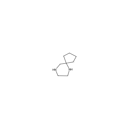 [CH]1CCCC12CNCCN2